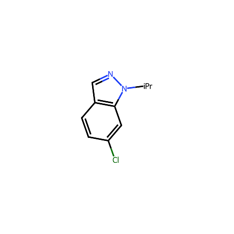 CC(C)n1ncc2ccc(Cl)cc21